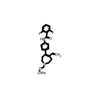 C=CC1=C(c2ccc(NC(=O)c3c(F)cccc3F)cc2)CCN(COOC)CC1